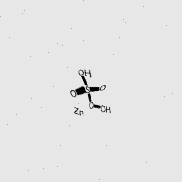 O=S(=O)(O)OO.[Zn]